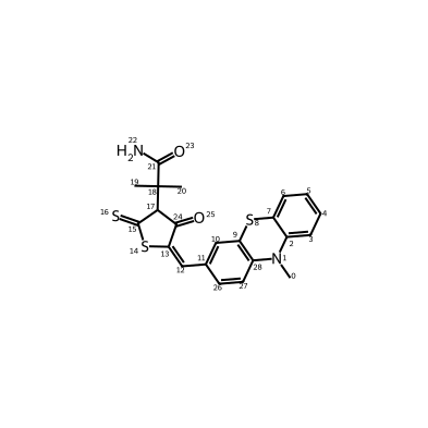 CN1c2ccccc2Sc2cc(C=C3SC(=S)C(C(C)(C)C(N)=O)C3=O)ccc21